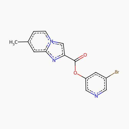 Cc1ccn2cc(C(=O)Oc3cncc(Br)c3)nc2c1